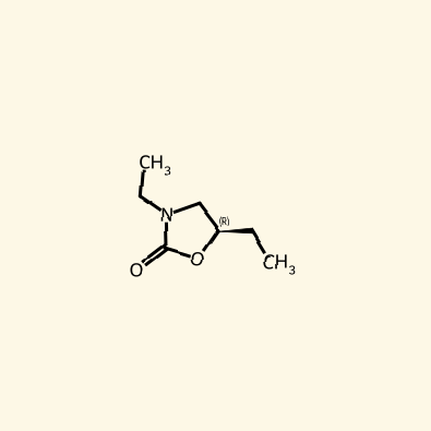 CC[C@@H]1CN(CC)C(=O)O1